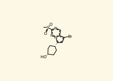 CS(=O)(=O)c1ncc2c(Br)cc([C@H]3CC[C@@H](O)CC3)n2n1